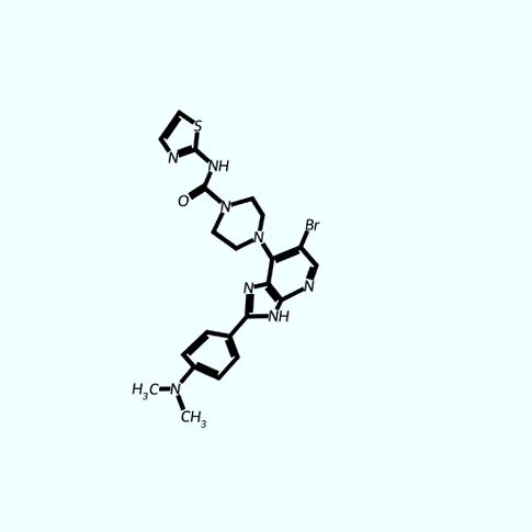 CN(C)c1ccc(-c2nc3c(N4CCN(C(=O)Nc5nccs5)CC4)c(Br)cnc3[nH]2)cc1